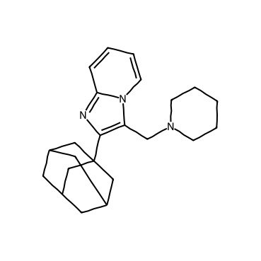 c1ccn2c(CN3CCCCC3)c(C34CC5CC(CC(C5)C3)C4)nc2c1